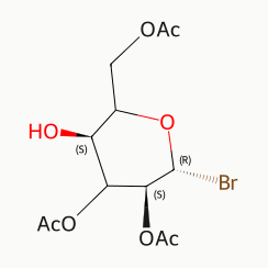 CC(=O)OCC1O[C@H](Br)[C@@H](OC(C)=O)C(OC(C)=O)[C@H]1O